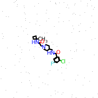 CC1(NC(=O)CN2CCC(CNC(=O)c3cc(F)cc(Cl)c3)CC2)CCC1